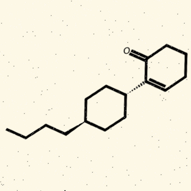 CCCC[C@H]1CC[C@H](C2=CCCCC2=O)CC1